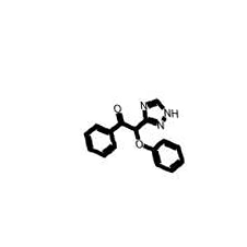 O=C(c1ccccc1)C(Oc1ccccc1)c1nc[nH]n1